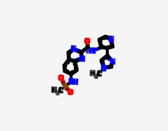 Cn1cnc(-c2cnccc2NC(=O)c2ncc3ccc(NS(C)(=O)=O)cc3n2)c1